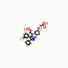 O=C(O)COC[C@H]1CC[C@H](Cn2nc(-c3ccccc3)c(-c3cccc(Cl)c3)c2CCCO)CC1